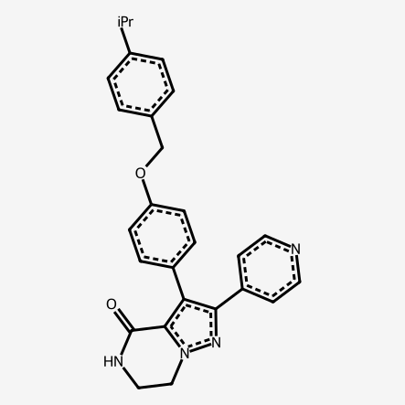 CC(C)c1ccc(COc2ccc(-c3c(-c4ccncc4)nn4c3C(=O)NCC4)cc2)cc1